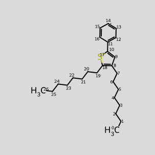 CCCCCCCCc1cc(-c2cc[c]cc2)sc1CCCCCCCC